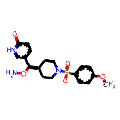 NOC(=C1CCN(S(=O)(=O)c2ccc(OC(F)(F)F)cc2)CC1)c1ccc(=O)[nH]c1